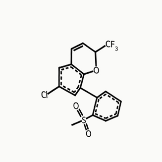 CS(=O)(=O)c1ccccc1-c1cc(Cl)cc2c1OC(C(F)(F)F)C=C2